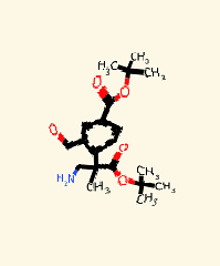 CC(C)(C)OC(=O)c1ccc(C(C)(CN)C(=O)OC(C)(C)C)c([C]=O)c1